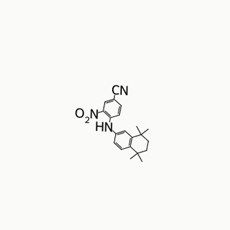 CC1(C)CCC(C)(C)c2cc(Nc3ccc(C#N)cc3[N+](=O)[O-])ccc21